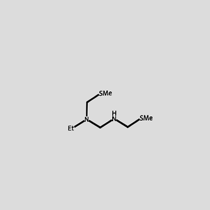 CCN(CNCSC)CSC